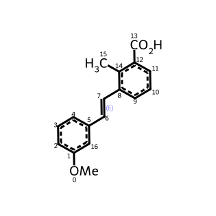 COc1cccc(/C=C/c2cccc(C(=O)O)c2C)c1